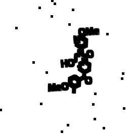 COc1ccc(N(CCO)C(=O)N2CCC(C(=O)c3ccc(OC)c(C)c3)CC2)cn1